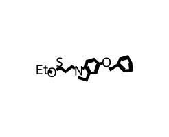 CCOC(=S)CCN1CCc2cc(OCc3ccccc3)ccc21